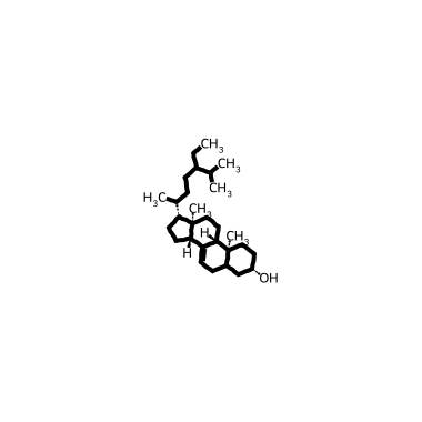 CCC(CCC(C)[C@H]1CC[C@H]2C3=CCC4C[C@@H](O)CC[C@]4(C)[C@H]3CC[C@]12C)C(C)C